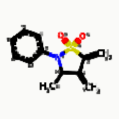 C=C1C(=C)S(=O)(=O)N(c2ccccc2)C1C